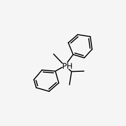 CC(C)[PH](C)(c1ccccc1)c1ccccc1